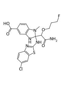 CN1c2ccc(C(=O)O)cc2NC1(Nc1nc2ccc(Cl)cc2s1)C(OCCCF)C(N)=O